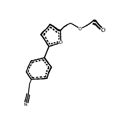 N#Cc1ccc(-c2ccc(COC=O)o2)cc1